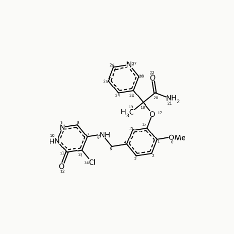 COc1ccc(CNc2cn[nH]c(=O)c2Cl)cc1OC(C)(C(N)=O)c1cccnc1